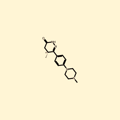 C[C@@H]1CC(=O)NN=C1c1ccc(N2CCN(C)CC2)cc1